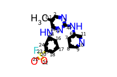 Cc1cnc(Nc2cccnc2)nc1Nc1cccc(S(=O)(=O)F)c1